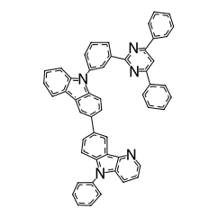 c1ccc(-c2cc(-c3ccccc3)nc(-c3cccc(-n4c5ccccc5c5cc(-c6ccc7c(c6)c6ncccc6n7-c6ccccc6)ccc54)c3)n2)cc1